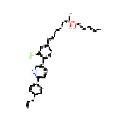 C=CCc1ccc(-c2ccc(-c3ccc(C=CCCCC(C)OCCCCC)cc3F)cn2)cc1